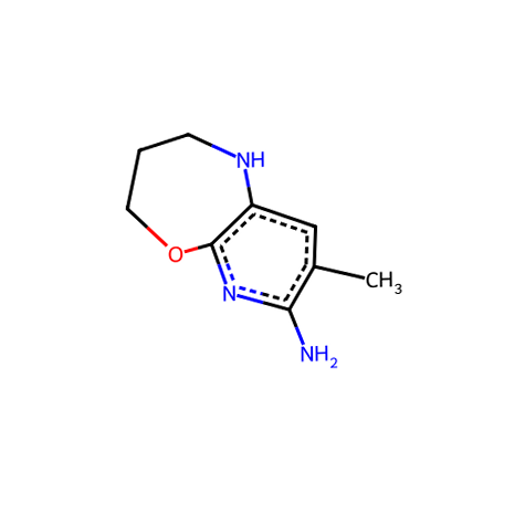 Cc1cc2c(nc1N)OCCCN2